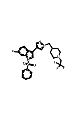 O=S(=O)(c1ccccc1)n1cc(-c2cnn(CC3CCN(CC(F)(F)F)CC3)c2)c2ccc(F)cc21